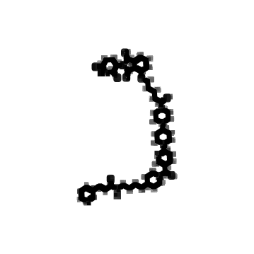 O=C(/C=C/c1cccnc1)NCCCCC1CCN(C(=O)c2ccc(N3CCC(N4CCN(C(=O)CCCCOc5cccc6c5C(=O)N(C5CCC(=O)NC5=O)C6=O)CC4)CC3)nc2)CC1